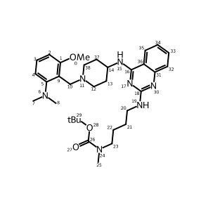 COc1cccc(N(C)C)c1CN1CCC(Nc2nc(NCCCCN(C)C(=O)OC(C)(C)C)nc3ccccc23)CC1